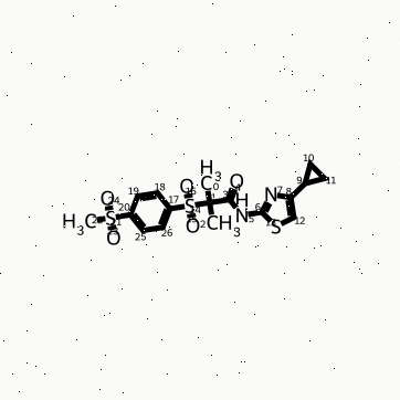 CC(C)(C(=O)Nc1nc(C2CC2)cs1)S(=O)(=O)c1ccc(S(C)(=O)=O)cc1